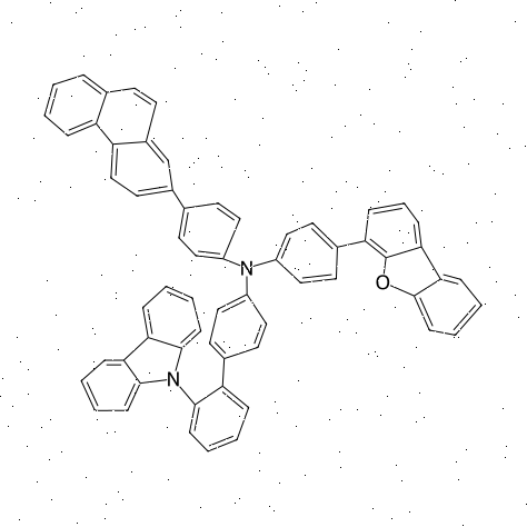 c1ccc(-n2c3ccccc3c3ccccc32)c(-c2ccc(N(c3ccc(-c4ccc5c(ccc6ccccc65)c4)cc3)c3ccc(-c4cccc5c4oc4ccccc45)cc3)cc2)c1